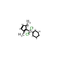 CC1=[C]([Zr]([Cl])([Cl])=[C]2CCCCC2)C(C)C=C1